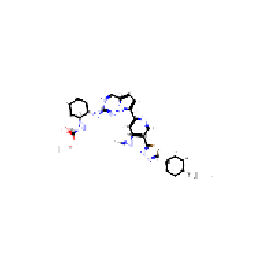 CC(=O)N[C@H]1CC[C@H](c2nnc(-c3cnc(-c4ccc5cnc(N[C@@H]6CCCC[C@@H]6NC(=O)OC(C)(C)C)nn45)cc3NC(C)C)s2)CC1